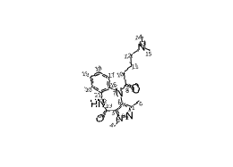 Cc1nn(C)c2c1N(C(=O)CCCN(C)C)c1ccccc1NC2=O